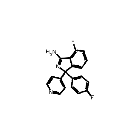 NC1=NC(c2ccncc2)(c2ccc(F)cc2)c2cccc(F)c21